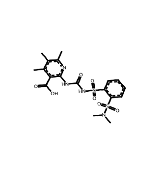 Cc1nc(NC(=O)NS(=O)(=O)c2ccccc2S(=O)(=O)N(C)C)c(C(=O)O)c(C)c1C